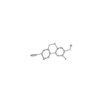 N#Cc1cc2c(cn1)-c1cc(F)c(CBr)cc1OC2